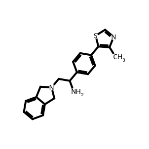 Cc1ncsc1-c1ccc(C(N)CN2Cc3ccccc3C2)cc1